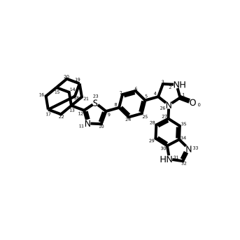 O=C1NCC(c2ccc(-c3cnc(C45CC6CC(CC(C6)C4)C5)s3)cc2)N1c1ccc2[nH]cnc2c1